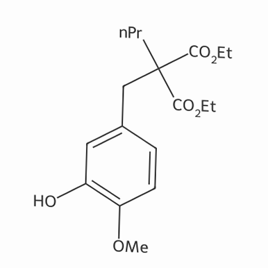 CCCC(Cc1ccc(OC)c(O)c1)(C(=O)OCC)C(=O)OCC